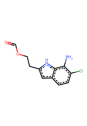 Nc1c(Cl)ccc2cc(CCOC=O)[nH]c12